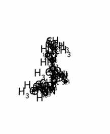 COC(=O)N[C@H](C(=O)N1CCC[C@H]1c1ncc(-c2cc(C)c3c(c2)OC(c2cnc(C4CC4)s2)n2c-3cc3cc(-c4cnc([C@@H]5CCCN5C(=O)[C@@H](NC(=O)OC)C(C)C)[nH]4)ccc32)[nH]1)C(C)C